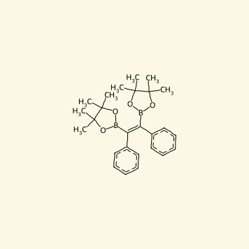 CC1(C)OB(C(=C(B2OC(C)(C)C(C)(C)O2)c2ccccc2)c2ccccc2)OC1(C)C